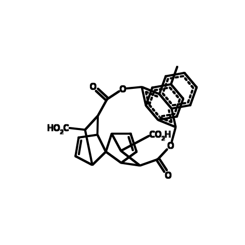 Cc1ccc2c3c4ccccc4c(c2c1)OC(=O)C1C(C(=O)O)C2C=CC1C21C2C=CC1C(C(=O)O3)C2C(=O)O